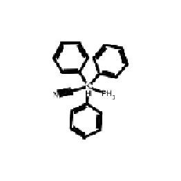 N#C[SH](P)(c1ccccc1)(c1ccccc1)c1ccccc1